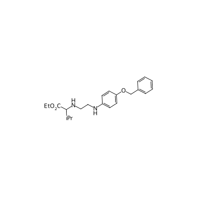 CCOC(=O)C(NCCNc1ccc(OCc2ccccc2)cc1)C(C)C